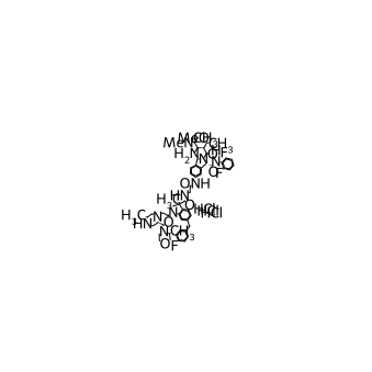 CN[C@@H](C)C(N)[C@H](C(=O)N1Cc2ccc(NC(=O)CNC(=O)[C@]3(C)CN(C(=O)CN4C[C@@H](C)NC[C@@H]4CN4CCOC[C@H]4C)c4cc(Cc5ccc(F)cc5)ccc43)cc2[C@H]1C(=O)Nc1c(F)cccc1F)[C@@H](C)OC.Cl.Cl.Cl